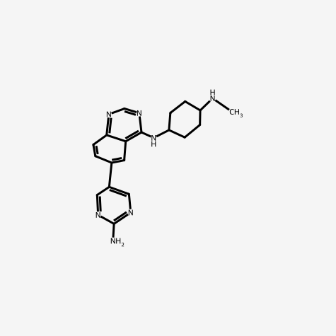 CNC1CCC(Nc2ncnc3ccc(-c4cnc(N)nc4)cc23)CC1